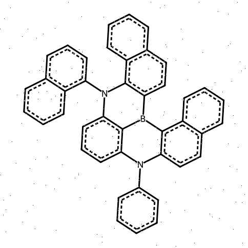 c1ccc(N2c3cccc4c3B(c3ccc5ccccc5c3N4c3cccc4ccccc34)c3c2ccc2ccccc32)cc1